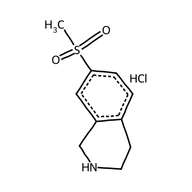 CS(=O)(=O)c1ccc2c(c1)CNCC2.Cl